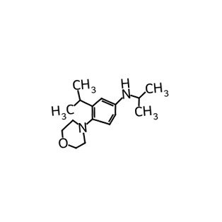 CC(C)Nc1ccc(N2CCOCC2)c(C(C)C)c1